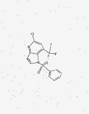 O=S(=O)(c1ccccc1)n1ccc2nc(Cl)cc(C(F)(F)F)c21